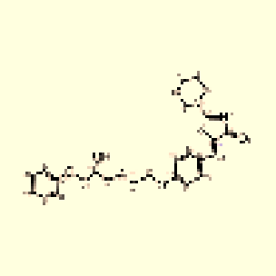 O=C1N=C(N2CCCCC2)S/C1=C\c1ccc(OCCNCC(O)COc2ccccc2)cc1